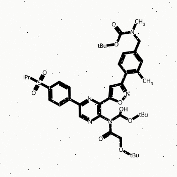 Cc1cc(CN(C)C(=O)OC(C)(C)C)ccc1-c1cc(-c2nc(-c3ccc(S(=O)(=O)C(C)C)cc3)cnc2N(C(=O)COC(C)(C)C)C(O)OC(C)(C)C)on1